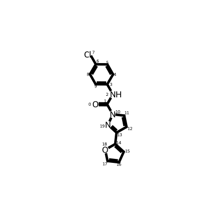 O=C(Nc1ccc(Cl)cc1)n1ccc(-c2ccco2)n1